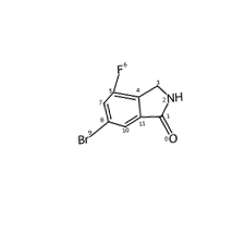 O=C1NCc2c(F)cc(Br)cc21